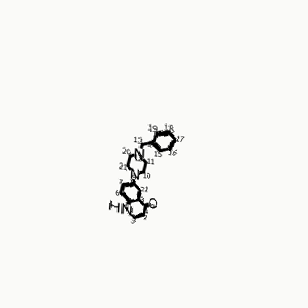 O=c1cc[nH]c2ccc(N3CCN(Cc4ccccc4)CC3)cc12